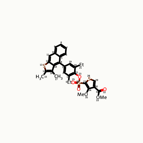 CCc1cc(-c2c3ccccc3cc3sc(C)c(C)c23)cc(CC)c1OS(=O)(=O)c1scc(C(=O)OC)c1OC